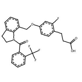 O=C(O)CCc1ccc(OCc2cccc3c2N(C(=O)c2ccccc2C(F)(F)F)CC3)cc1F